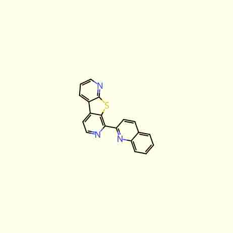 c1ccc2nc(-c3nccc4c3sc3ncccc34)ccc2c1